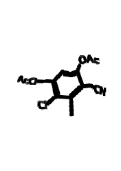 CC(=O)Oc1cc(OC(C)=O)c(C#N)c(C)c1Cl